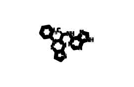 C[C@H](Nc1ncnc2[nH]cnc12)C1=Nc2sccc2SN1c1ccccc1